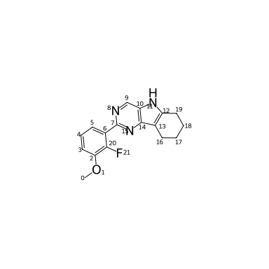 COc1cccc(-c2ncc3[nH]c4c(c3n2)CCCC4)c1F